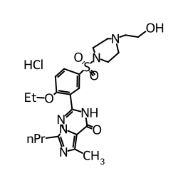 CCCc1nc(C)c2c(=O)[nH]c(-c3cc(S(=O)(=O)N4CCN(CCO)CC4)ccc3OCC)nn12.Cl